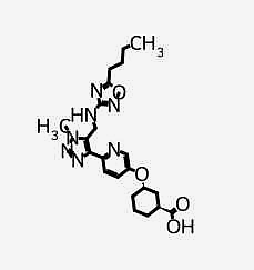 CCCCc1nc(NCc2c(-c3ccc(O[C@H]4CCC[C@H](C(=O)O)C4)cn3)nnn2C)no1